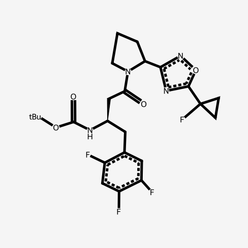 CC(C)(C)OC(=O)N[C@@H](CC(=O)N1CCCC1c1noc(C2(F)CC2)n1)Cc1cc(F)c(F)cc1F